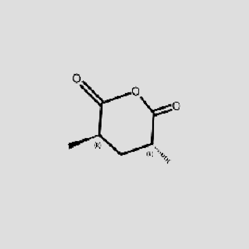 C[C@@H]1C[C@@H](C)C(=O)OC1=O